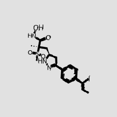 C/C=C(\I)c1ccc(C2=NN[C@@H](C[C@](C)(C(=O)NO)S(C)(=O)=O)C2)cc1